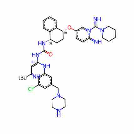 CC(C)(C)C(=N)/C=C(/NC(=O)N[C@H]1CC[C@@H](Oc2ccc(=N)n(C(=N)N3CCCCC3)c2)c2ccccc21)Nc1cc(Cl)cc(CN2CCNCC2)c1